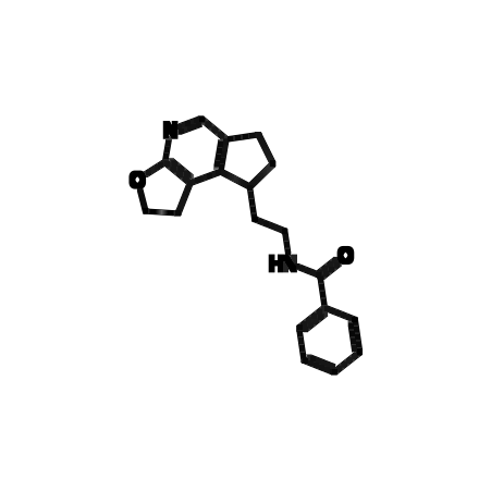 O=C(NCCC1CCc2cnc3c(c21)CCO3)c1ccccc1